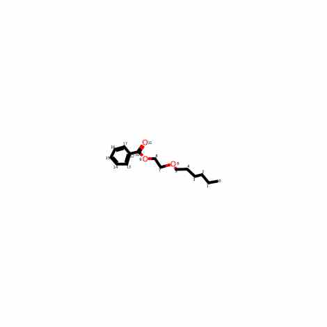 CCCCCCOCCOC(=O)c1ccccc1